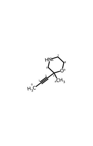 CC#CC1(C)CNCCO1